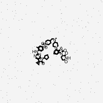 Cc1cc(S(=O)(=O)N2CCC(CN(C)C3CCN(c4cccc5c4n(C)c(=O)n5C4CCC(=O)NC4=O)CC3)CC2)ccc1Nc1ncc2c(n1)N(C1CCCC1)C(=O)C21CC1